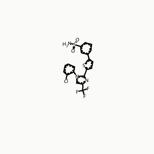 NS(=O)(=O)c1cccc(-c2ccc(-c3nc(C(F)(F)F)cn3-c3ccccc3Cl)s2)c1